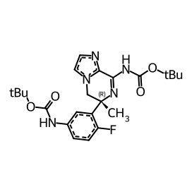 CC(C)(C)OC(=O)NC1=N[C@](C)(c2cc(NC(=O)OC(C)(C)C)ccc2F)Cn2ccnc21